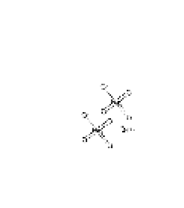 [Be+2].[O]=[Mn](=[O])(=[O])[O-].[O]=[Mn](=[O])(=[O])[O-]